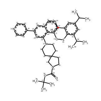 CC(C)c1cc(C(C)C)c(SOc2cncc3nc(-c4ccncc4)nc(N4CCC5(CCN(C(=O)OC(C)(C)C)C5)CC4)c23)c(C(C)C)c1